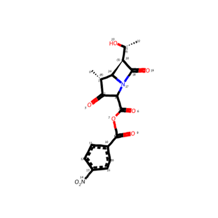 C[C@H]1C(=O)C(C(=O)OC(=O)c2ccc([N+](=O)[O-])cc2)N2C(=O)[C@H]([C@@H](C)O)C12